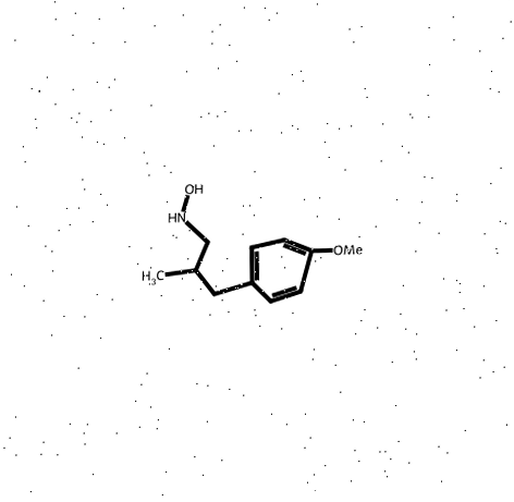 COc1ccc(CC(C)CNO)cc1